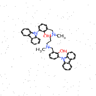 CN(CCCN(C)Cc1cccc(-n2c3ccccc3c3ccccc32)c1O)Cc1cccc(-n2c3ccccc3c3ccccc32)c1O